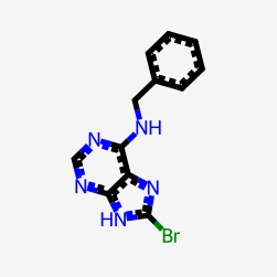 Brc1nc2c(NCc3ccccc3)ncnc2[nH]1